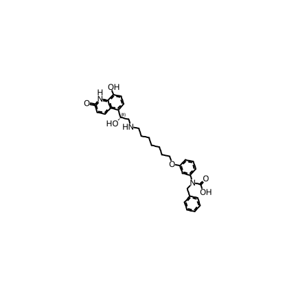 O=C(O)N(Cc1ccccc1)c1cccc(OCCCCCCCNC[C@H](O)c2ccc(O)c3[nH]c(=O)ccc23)c1